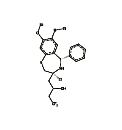 CCOc1cc2c(cc1OCC)[C@H](c1ccccc1)N[C@@](CC)(CC(O)CC(F)(F)F)CS2